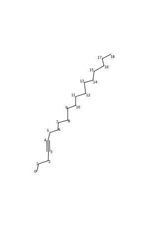 CCCC#CCCCCCCCCCCCCCC